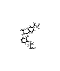 CNS(=O)(=O)Nc1cccc(CN2Cc3ccc(C(=O)N(C)C)cc3OC2=O)c1F